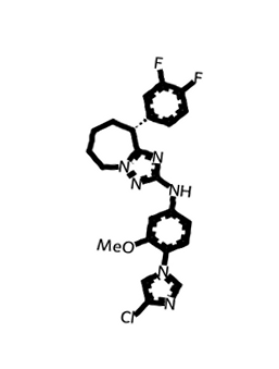 COc1cc(Nc2nc3n(n2)CCCC[C@@H]3c2ccc(F)c(F)c2)ccc1-n1cnc(Cl)c1